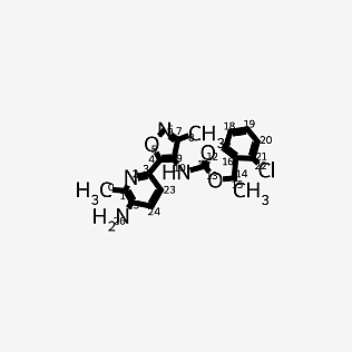 Cc1nc(-c2onc(C)c2NC(=O)O[C@H](C)c2ccccc2Cl)ccc1N